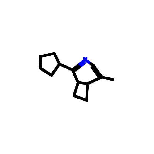 CC1=CN=C(C2CCCC2)C2CCC12